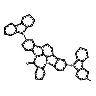 Cc1ccc2c(c1)c1ccccc1n2-c1ccc2c(c1)c1ccc3c4cc(-n5c6ccccc6c6ccccc65)ccc4n4c(=O)c5ccccc5n2c1c34